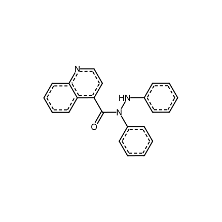 O=C(c1ccnc2ccccc12)N(Nc1ccccc1)c1ccccc1